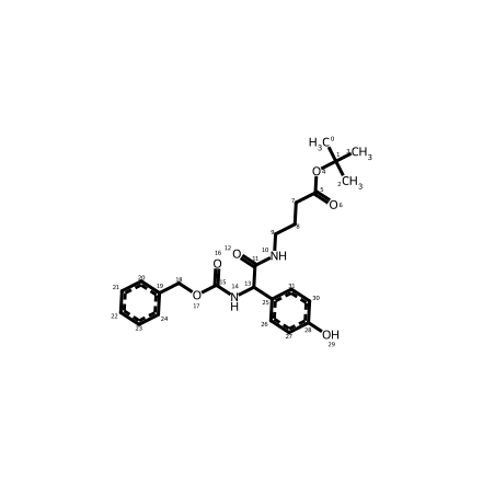 CC(C)(C)OC(=O)CCCNC(=O)C(NC(=O)OCc1ccccc1)c1ccc(O)cc1